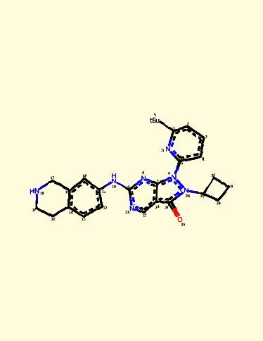 CC(C)(C)c1cccc(-n2c3nc(Nc4ccc5c(c4)CNCC5)ncc3c(=O)n2C2CCC2)n1